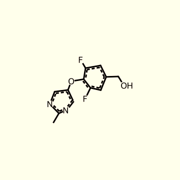 Cc1ncc(Oc2c(F)cc(CO)cc2F)cn1